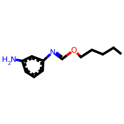 CCCCCO/C=N/c1cccc(N)c1